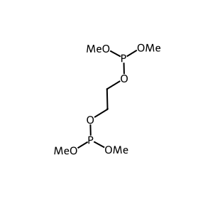 COP(OC)OCCOP(OC)OC